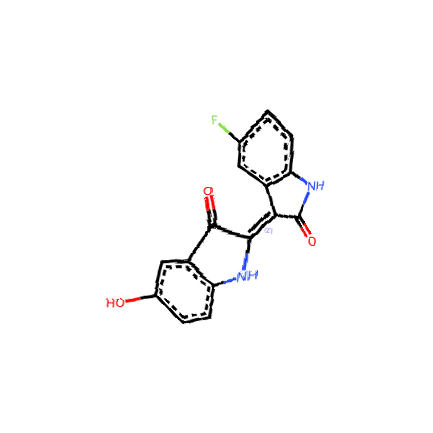 O=C1Nc2ccc(F)cc2/C1=C1/Nc2ccc(O)cc2C1=O